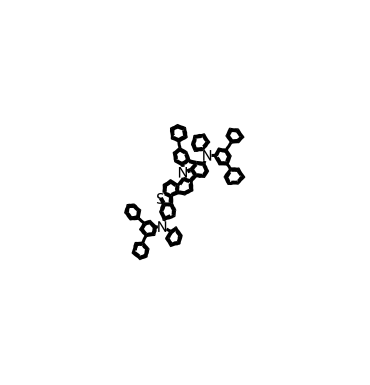 c1ccc(-c2cc(-c3ccccc3)cc(N(c3ccccc3)c3ccc4c(c3)sc3ccc5c(ccc6c7ccc(N(c8ccccc8)c8cc(-c9ccccc9)cc(-c9ccccc9)c8)c8c9cc(-c%10ccccc%10)ccc9n(c56)c78)c34)c2)cc1